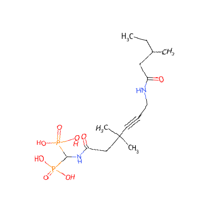 CCC(C)CC(=O)NCC#CC(C)(C)CC(=O)NC(P(=O)(O)O)P(=O)(O)O